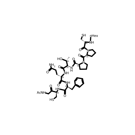 CCCCCCN[C@@H](CS)C(=O)N1CCC[C@H]1C(=O)N1CCC[C@H]1C(=O)N[C@H](C(=O)N[C@@H](CCC(N)=O)C(=O)N[C@@H](Cc1ccccc1)C(=O)N[C@@H](CS)C(=O)CNC(C)=O)[C@@H](C)O